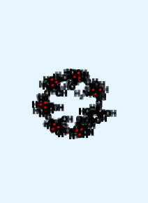 NC[C@H]1O[C@@H]2O[C@H]3[C@H](O)[C@@H](O)[C@@H](O[C@H]4[C@H](O)[C@@H](O)[C@@H](O[C@H]5[C@H](O)[C@@H](O)[C@@H](O[C@H]6[C@H](O)[C@@H](O)[C@@H](O[C@H]7[C@H](O)[C@@H](O)[C@@H](O[C@H]8[C@H](O)[C@@H](O)[C@@H](O[C@H]1[C@H](O)[C@H]2O)O[C@@H]8CO)O[C@@H]7CO)O[C@@H]6CO)O[C@@H]5CO)O[C@@H]4CO)O[C@@H]3CO